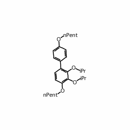 CCCCCOc1ccc(-c2ccc(OCCCCC)c(OC(C)C)c2OC(C)C)cc1